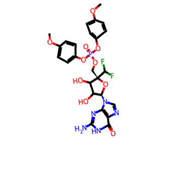 COc1ccc(OP(=O)(OC[C@@]2(C(F)F)O[C@@H](n3cnc4c(=O)[nH]c(N)nc43)C(O)C2O)Oc2ccc(OC)cc2)cc1